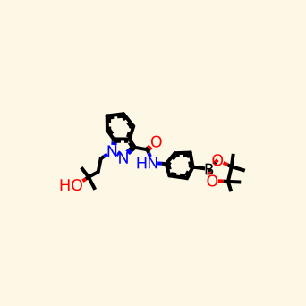 CC(C)(O)CCn1nc(C(=O)Nc2ccc(B3OC(C)(C)C(C)(C)O3)cc2)c2ccccc21